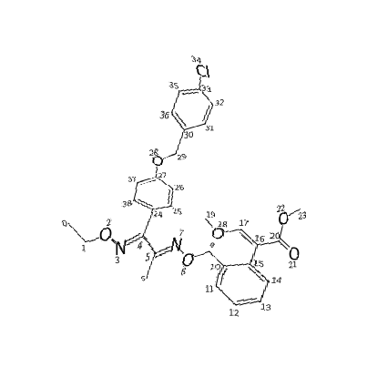 CCO/N=C(/C(C)=N/OCc1ccccc1/C(=C\OC)C(=O)OC)c1ccc(OCc2ccc(Cl)cc2)cc1